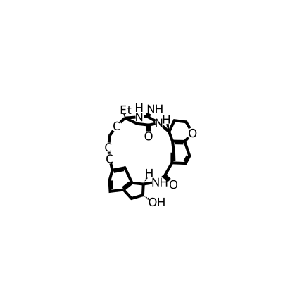 CC[C@]12CCCCc3ccc4c(c3)[C@@H](NC(=O)c3ccc5c(c3)[C@@H](CCO5)N(C(=N)N1)C(=O)C2)[C@H](O)C4